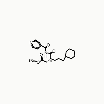 CC(C)(C)OC(=O)C[C@@H](CCCC1CCCCC1)C(=O)NC(=O)c1ccncc1